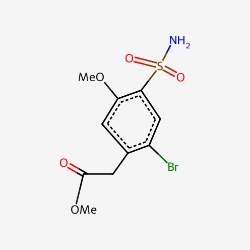 COC(=O)Cc1cc(OC)c(S(N)(=O)=O)cc1Br